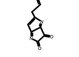 C=CCc1cc2nc(=O)c(=O)c-2n1